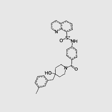 Cc1cccc(CC2(O)CCN(C(=O)c3ccc(N[S+]([O-])c4cccc5cccnc45)cc3)CC2)c1